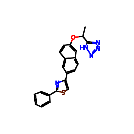 CC(Oc1ccc2cc(-c3csc(-c4ccccc4)n3)ccc2c1)c1nnn[nH]1